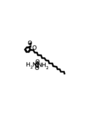 CCCCCCCCCCCCCCCCCC(=O)c1ccccc1I=O.NS(N)(=O)=O